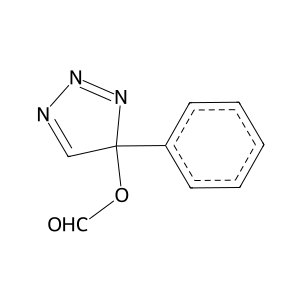 O=COC1(c2ccccc2)C=NN=N1